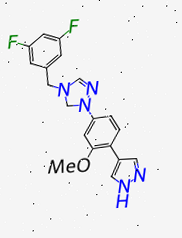 COc1cc(N2CN(Cc3cc(F)cc(F)c3)C=N2)ccc1-c1cn[nH]c1